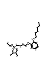 CCCCCCOc1ccccc1OCCCC[Si](OCC)(OCC)OCC